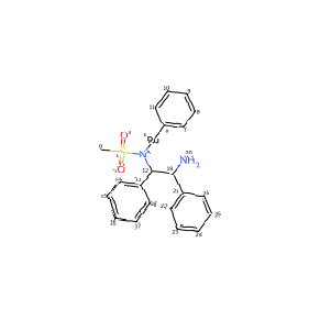 CS(=O)(=O)[N]([Ru][c]1ccccc1)C(c1ccccc1)C(N)c1ccccc1